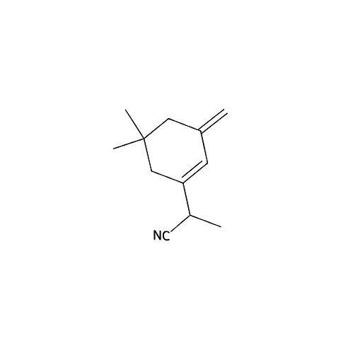 C=C1C=C(C(C)C#N)CC(C)(C)C1